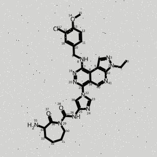 CCn1ncc2c3c(NCc4ccc(OC)c(Cl)c4)nnc(-n4cnc(NC(=O)N5CCCCC(N)C5=O)c4)c3cnc21